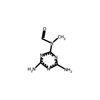 CN(C=O)c1nc(N)nc(N)n1